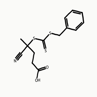 CC(C#N)(CCC(=O)O)SC(=S)SCc1ccccc1